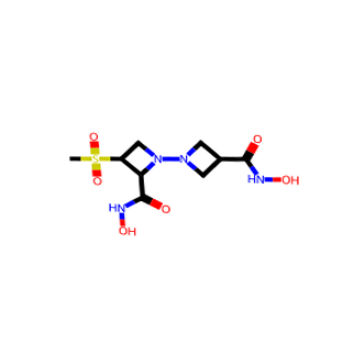 CS(=O)(=O)C1CN(N2CC(C(=O)NO)C2)C1C(=O)NO